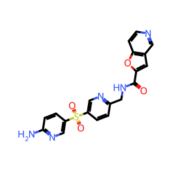 Nc1ccc(S(=O)(=O)c2ccc(CNC(=O)c3cc4cnccc4o3)nc2)cn1